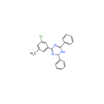 Cc1cc(Cl)cc(C2=NC(c3ccccc3)NC(c3ccccc3)=N2)c1